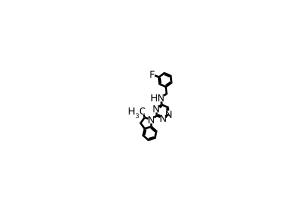 CC1Cc2ccccc2N1c1nncc(NCc2cccc(F)c2)n1